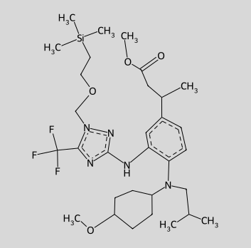 COC(=O)CC(C)c1ccc(N(CC(C)C)C2CCC(OC)CC2)c(Nc2nc(C(F)(F)F)n(COCC[Si](C)(C)C)n2)c1